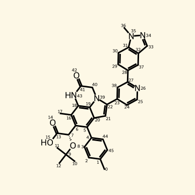 Cc1ccc(-c2c([C@H](OC(C)(C)C)C(=O)O)c(C)c3c4c2cc(-c2ccnc(-c5ccc6c(cnn6C)c5)c2)n4CC(=O)N3)cc1